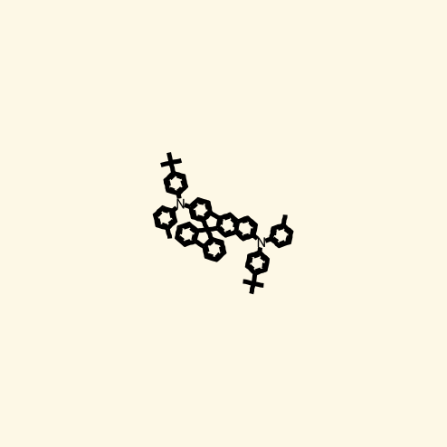 Cc1cccc(N(c2ccc(C(C)(C)C)cc2)c2ccc3c(c2)C2(c4ccccc4-c4ccccc42)c2cc4cc(N(c5ccc(C(C)(C)C)cc5)c5cccc(C)c5)ccc4cc2-3)c1